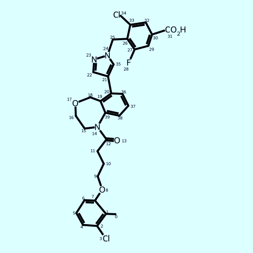 Cc1c(Cl)cccc1OCCCC(=O)N1CCOCc2c(-c3cnn(Cc4c(F)cc(C(=O)O)cc4Cl)c3)cccc21